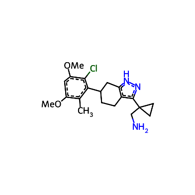 COc1cc(OC)c(Cl)c(C2CCc3c(C4(CN)CC4)n[nH]c3C2)c1C